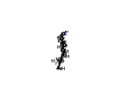 C=CC(/C=C\C=C/C)Oc1ccc(C2=CN=C3C(Nc4ccc(C(=O)CC(=N)CCNC(=O)[C@@H](N)CCCCC(C)=N)c(CC)c4)=CC=CC3C2=C)c(F)c1F